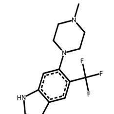 CN1CCN(c2cc3c(cc2C(F)(F)F)CCN3)CC1